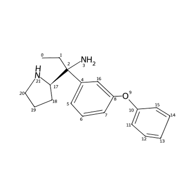 CCC(N)(c1cccc(Oc2ccccc2)c1)[C@H]1CCCN1